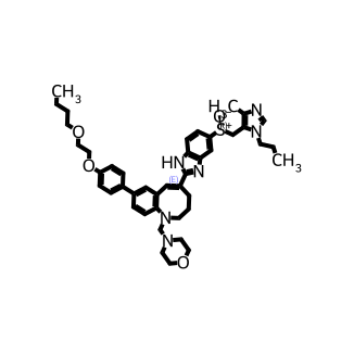 CCCCOCCOc1ccc(-c2ccc3c(c2)/C=C(/c2nc4cc([S@@+]([O-])Cc5c(C)ncn5CCC)ccc4[nH]2)CCCN3CN2CCOCC2)cc1